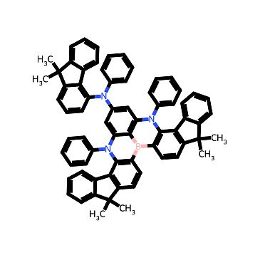 CC1(C)c2ccccc2-c2c(N(c3ccccc3)c3cc4c5c(c3)N(c3ccccc3)c3c(ccc6c3-c3ccccc3C6(C)C)B5c3ccc5c(c3N4c3ccccc3)-c3ccccc3C5(C)C)cccc21